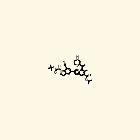 C=C(c1c(C)c(C(=O)OC(C)C)cc2cc(-c3cc(C#N)c4c(c3)CCN4NC(=O)OC(C)(C)C)cn12)C1CNCCO1